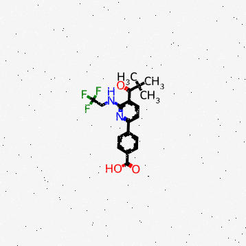 CC(C)(C)C(=O)c1ccc(-c2ccc(C(=O)O)cc2)nc1NCC(F)(F)F